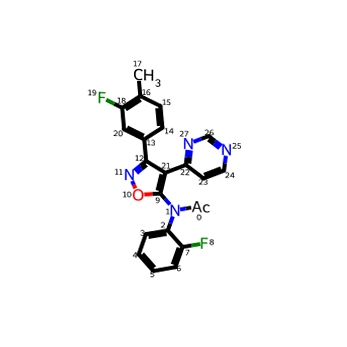 CC(=O)N(c1ccccc1F)c1onc(-c2ccc(C)c(F)c2)c1-c1ccncn1